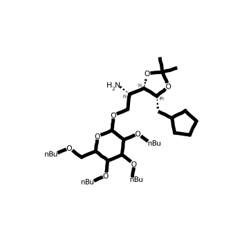 CCCCOCC1OC(OC[C@H](N)[C@@H]2OC(C)(C)O[C@@H]2CC2CCCC2)C(OCCCC)C(OCCCC)C1OCCCC